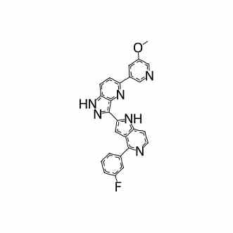 COc1cncc(-c2ccc3[nH]nc(-c4cc5c(-c6cccc(F)c6)nccc5[nH]4)c3n2)c1